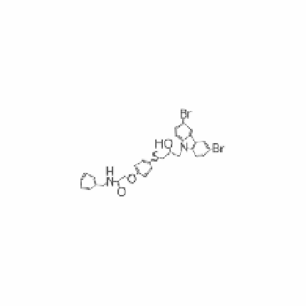 O=C(COc1ccc(SCC(O)Cn2c3ccc(Br)cc3c3cc(Br)ccc32)cc1)NCc1ccccc1